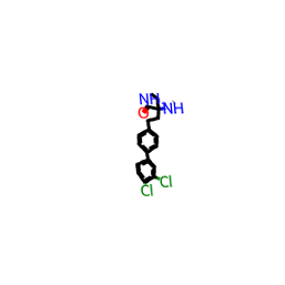 CCC(CCc1ccc(-c2ccc(Cl)c(Cl)c2)cc1)(NC)C(N)=O